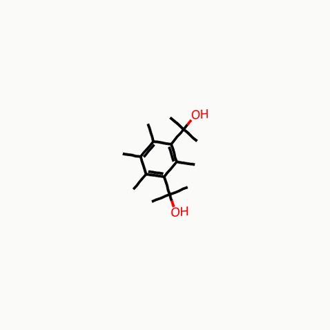 Cc1c(C)c(C(C)(C)O)c(C)c(C(C)(C)O)c1C